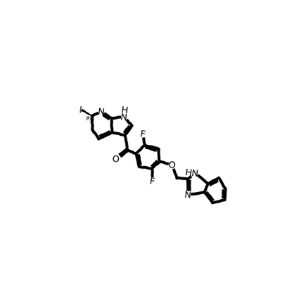 O=C(c1cc(F)c(OCc2nc3ccccc3[nH]2)cc1F)c1c[nH]c2c1=CC[C@@H](I)N=2